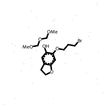 COCOCOC.Oc1cc2c(cc1OCCCBr)OCC2